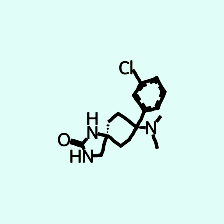 CN(C)[C@]1(c2cccc(Cl)c2)CC[C@]2(CC1)CNC(=O)N2